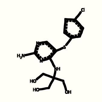 Nc1ncc(Sc2ccc(Cl)cc2)c(NC(CO)(CO)CO)n1